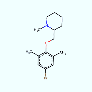 Cc1cc(Br)cc(C)c1OCC1CCCCN1C